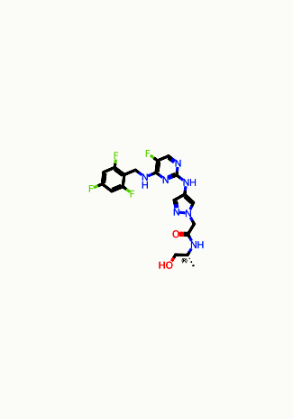 C[C@H](CO)NC(=O)Cn1cc(Nc2ncc(F)c(NCc3c(F)cc(F)cc3F)n2)cn1